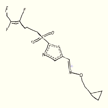 O=S(=O)(CCC(F)=C(F)F)c1ncc(/C=N/OCC2CC2)s1